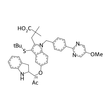 COc1cnc(-c2ccc(Cn3c(CC(C)(C)C(=O)O)c(SC(C)(C)C)c4cc(O[C@H](C(C)=O)C5Cc6ccccc6N5)ccc43)cc2)nc1